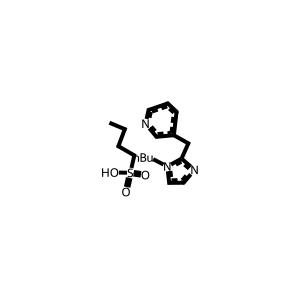 CCCCS(=O)(=O)O.CCCCn1ccnc1Cc1cccnc1